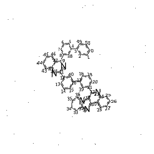 c1ccc(-c2cccc(-c3nc(-c4cccc(-c5cccc(-c6nc7ccccc7c7nc8ccccn8c67)c5)c4)nc4ccccc34)c2)cc1